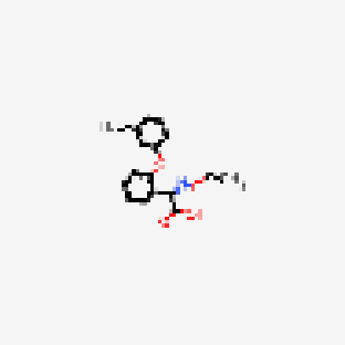 CCON=C(C(=O)O)c1ccccc1Oc1cccc(C)c1